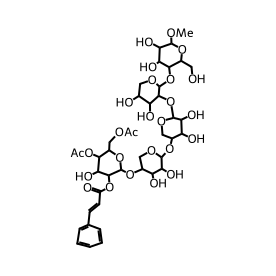 COC1OC(CO)C(OC2OCC(O)C(O)C2OC2OCC(OC3OCC(OC4OC(COC(C)=O)C(OC(C)=O)C(O)C4OC(=O)/C=C/c4ccccc4)C(O)C3O)C(O)C2O)C(O)C1O